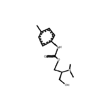 Cc1ccc(NC(=O)OCC(CO)N(C)C)cc1